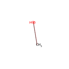 CCCCCCCCCCCCCCCCCCCCCCCCCCCCCCCCCCCCCCCCC(=O)O